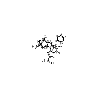 CC[C@H](O)[C@@H]1C[C@@H]([C@H](C)NCc2ccccc2)[C@H](n2c(=O)sc3c(=O)[nH]c(N)nc32)O1